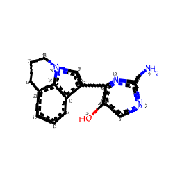 Nc1ncc(O)c(-c2cn3c4c(cccc24)CCC3)n1